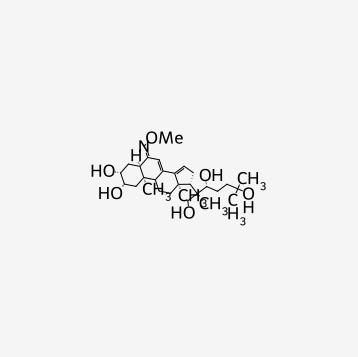 CO/N=C1\C=C2C3=CC[C@H]([C@@](C)(CO)[C@H](O)CCC(C)(C)O)[C@@]3(C)CCC2[C@@]2(C)C[C@H](O)[C@H](O)C[C@@H]12